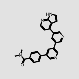 CN(C)C(=O)c1ccc(-c2cncc(-c3cncc(-c4ccnc5[nH]ccc45)c3)c2)cc1